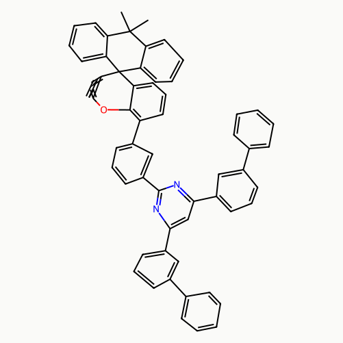 CC1(C)c2ccccc2C2(c3ccccc3Oc3c(-c4cccc(-c5nc(-c6cccc(-c7ccccc7)c6)cc(-c6cccc(-c7ccccc7)c6)n5)c4)cccc32)c2ccccc21